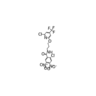 O=C(NCCCOc1cc(C(F)(F)F)cc(Cl)n1)c1cc([N+](=O)[O-])c([N+](=O)[O-])cc1Cl